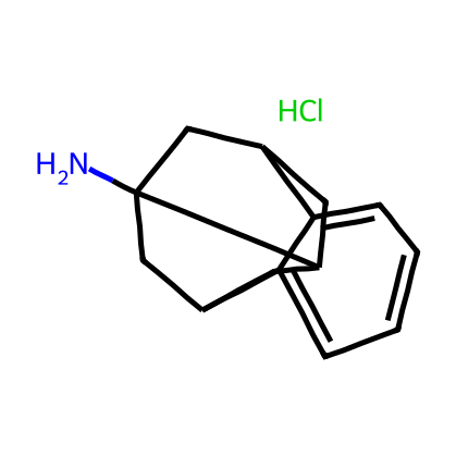 Cl.NC12CC3CC1CC(C2)c1ccccc13